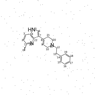 Ic1ccc2[nH]cc(C3=CCN(CCc4ccccc4)CC3)c2n1